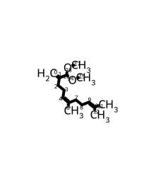 C=C(CCC=C(C)CCC=C(C)C)C(OC)OC